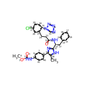 COC(=O)Nc1ccc(-c2nc([C@H](Cc3ccccc3)NC(=O)CCc3cc(Cl)ccc3-n3cnnn3)[nH]c2C)cc1